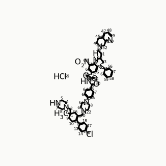 CC1(CN2CCNCC2)CCC(c2ccc(Cl)cc2)=C(CN2CCN(c3ccc(C(=O)NS(=O)(=O)c4ccc(NC(CCN5CCc6cccnc6C5)CSc5ccccc5)c([N+](=O)[O-])c4)cc3)CC2)C1.Cl